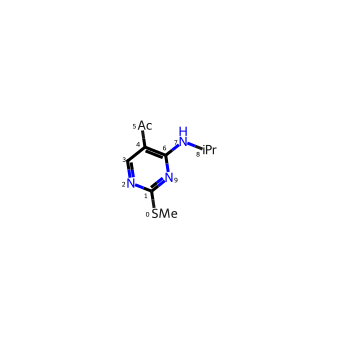 CSc1ncc(C(C)=O)c(NC(C)C)n1